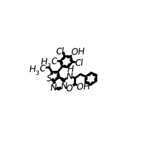 CCc1sc2ncnc(NC(Cc3ccccc3)C(=O)O)c2c1-c1cc(Cl)c(O)c(Cl)c1C